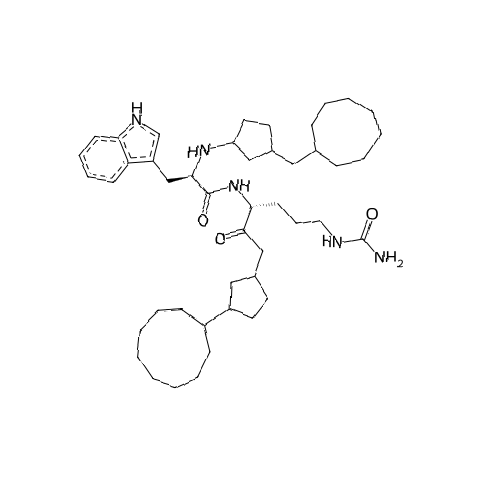 NC(=O)NCCC[C@@H](NC(=O)[C@@H](Cc1c[nH]c2ccccc12)NC1CCC(CC2CCCCCCC2)C1)C(=O)CC1CCC(C2CCCCCCCC2)C1